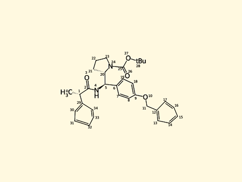 C[C@H](C(=O)N[C@H](c1ccc(OCc2ccccc2)cc1)[C@@H]1CCCN1C(=O)OC(C)(C)C)c1ccccc1